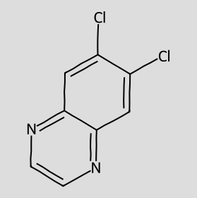 Clc1cc2nccnc2cc1Cl